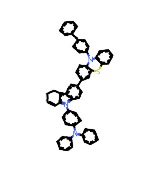 C1=Cc2c(c3cc(-c4ccc5c(c4)Sc4ccccc4N5c4ccc(-c5ccccc5)cc4)ccc3n2-c2ccc(N(c3ccccc3)c3ccccc3)cc2)CC1